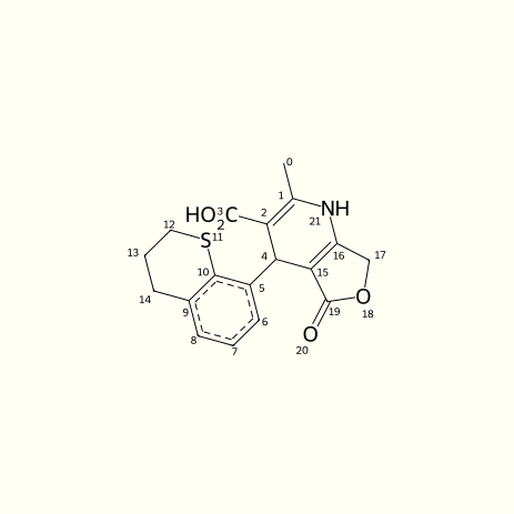 CC1=C(C(=O)O)C(c2cccc3c2SCCC3)C2=C(COC2=O)N1